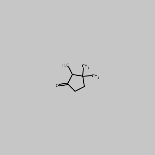 CC1C(=O)CCC1(C)C